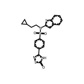 O=c1[nH]c(-c2ccc(S(=O)(=O)N(CCC3CC3)c3cc4ccccc4s3)cc2)ns1